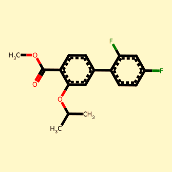 COC(=O)c1ccc(-c2ccc(F)cc2F)cc1OC(C)C